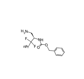 CCCC(F)(F)[C@@H](CN)NC(=O)OCc1ccccc1